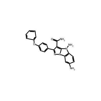 NC(=O)c1c(-c2ccc(Oc3ccccc3)cc2)nn2c3cc(N)ccc3n(N)c12